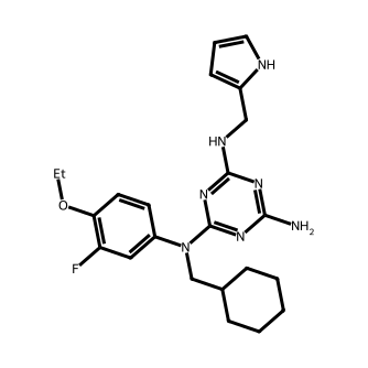 CCOc1ccc(N(CC2CCCCC2)c2nc(N)nc(NCc3ccc[nH]3)n2)cc1F